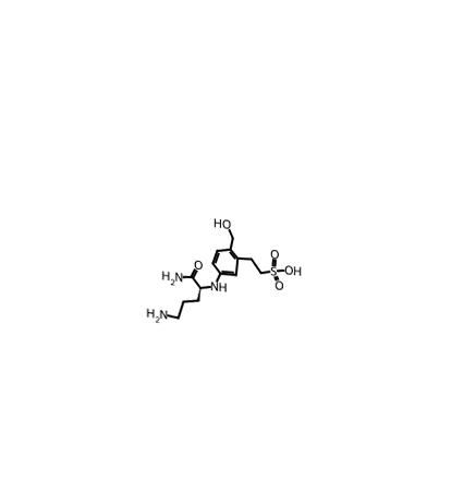 NCCC[C@H](Nc1ccc(CO)c(CCS(=O)(=O)O)c1)C(N)=O